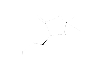 CC1(C)OC(=O)[C@H](CCI)O1